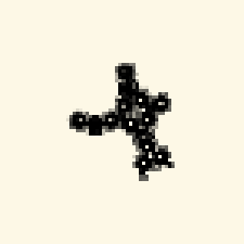 Cc1ccc(-c2cc3nc(-c4ccc(N(c5ccccc5)c5ccc(-c6nnc(-c7ccccc7)o6)cc5)cc4)c(-c4ccc(N(c5ccccc5)c5ccc(-c6nnc(-c7ccccc7)o6)cc5)cc4)nc3cc2-c2ccc(C)cc2)cc1